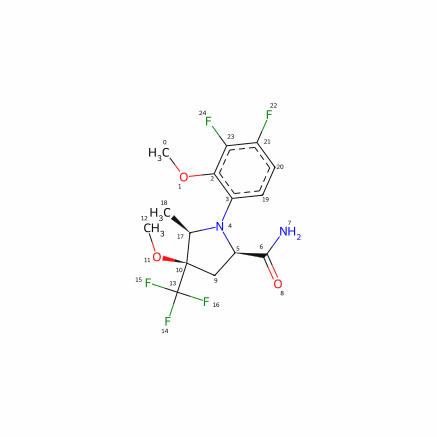 COc1c(N2[C@@H](C(N)=O)C[C@](OC)(C(F)(F)F)[C@H]2C)ccc(F)c1F